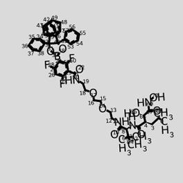 CC(C)C[C@@H](C(=O)N[C@H](C(=O)NCCOCCOCCNC(=O)c1c(F)cc(F)c(B2OC(c3ccccc3)(c3ccccc3)C(c3ccccc3)(c3ccccc3)O2)c1F)C(C)(C)C)[C@H](O)C(=O)NO